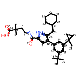 CC(C)(CCNC(=O)c1cc(-c2cc(C(C)(C)C)cc(C3(C)CC3)c2)c(CC2CCCCC2)[nH]1)C(=O)O